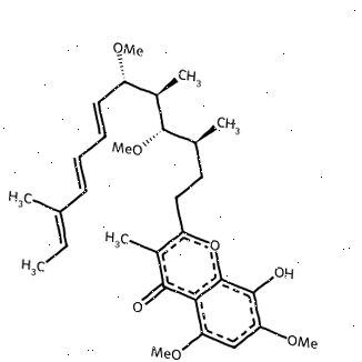 C/C=C(C)/C=C/C=C/[C@H](OC)[C@@H](C)[C@@H](OC)[C@@H](C)CCc1oc2c(O)c(OC)cc(OC)c2c(=O)c1C